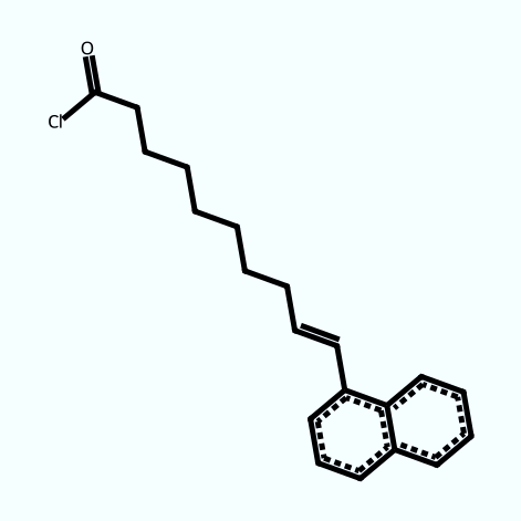 O=C(Cl)CCCCCCCC=Cc1cccc2ccccc12